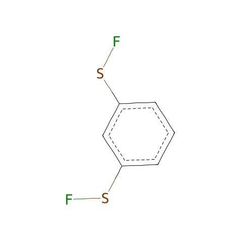 FSc1cccc(SF)c1